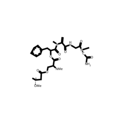 C=C(C(=O)NCC(=O)N(C)CC(N)=O)N(C)C(=O)C(Cc1ccccc1)OC(=O)C(COC(=O)C[C@@H](C)OC)NC